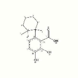 CC1(C)CCCCC1(C)c1ccc(O)c(O)c1C(=O)O